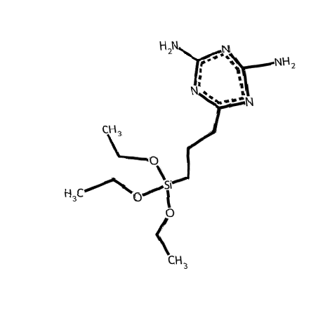 CCO[Si](CCCc1nc(N)nc(N)n1)(OCC)OCC